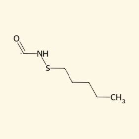 CCCCCSN[C]=O